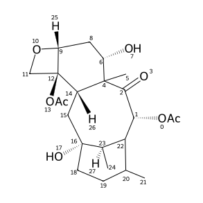 CC(=O)O[C@H]1C(=O)C2(C)[C@@H](O)C[C@H]3OC[C@@]3(OC(C)=O)[C@H]2C[C@]2(O)CCC(C)C1[C@H]2C